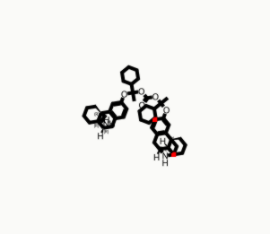 CC(OC(=O)OC(C)(Oc1ccc2c(c1)[C@@]13CCCC[C@H]1[C@@H](C2)NCC3)C1CCCCC1)(Oc1ccc2c(c1)[C@@]13CCCC[C@H]1[C@@H](C2)NCC3)C1CCCCC1